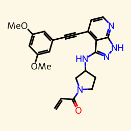 C=CC(=O)N1CCC(Nc2n[nH]c3nccc(C#Cc4cc(OC)cc(OC)c4)c23)C1